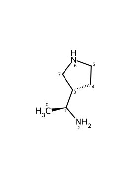 C[C@H](N)[C@H]1CCNC1